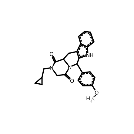 COc1ccc(C2c3[nH]c4ccccc4c3CC3C(=O)N(CC4CC4)CC(=O)N32)cc1